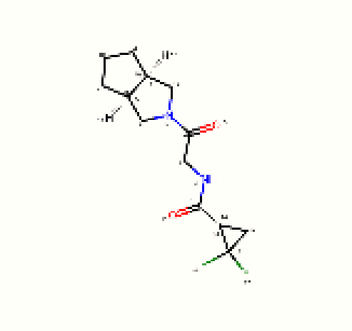 O=C(NCC(=O)N1C[C@H]2CCC[C@H]2C1)[C@@H]1CC1(F)F